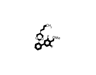 C=CCC[C@H]1CO[C@H](c2ccccc2-c2cc(F)c(COC)c(F)c2)OC1